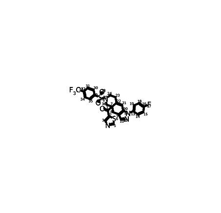 O=C(c1cncs1)C12Cc3cnn(-c4ccc(F)cc4)c3C=C1CCN(S(=O)(=O)c1ccc(C(F)(F)F)cc1)C2